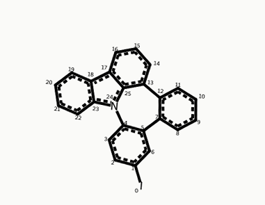 Ic1ccc2c(c1)-c1ccccc1-c1cccc3c4ccccc4n-2c13